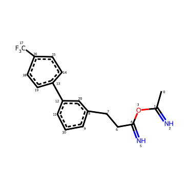 CC(=N)OC(=N)CCc1cccc(-c2ccc(C(F)(F)F)cc2)c1